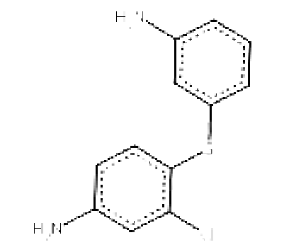 Nc1cccc(Sc2ccc(N)cc2Cl)c1